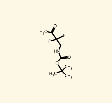 CC(=O)C(F)(F)CNC(=O)OC(C)(C)C